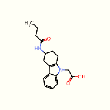 CCCC(=O)NC1CCc2c(c3ccccc3n2CC(=O)O)C1